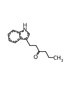 CCCC(=O)CCc1c[nH]c2ccccc12